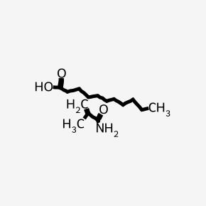 C=C(C)C(N)=O.CCCCCCCCCCC(=O)O